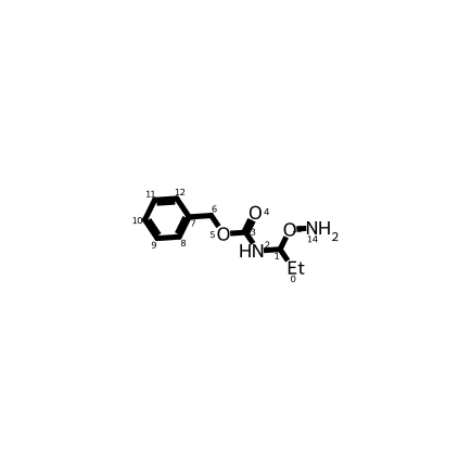 CCC(NC(=O)OCc1ccccc1)ON